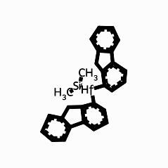 C[Si](C)=[Hf]([c]1cccc2c1Cc1ccccc1-2)[c]1cccc2c1Cc1ccccc1-2